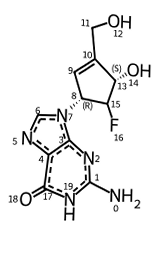 Nc1nc2c(ncn2[C@@H]2C=C(CO)[C@H](O)C2F)c(=O)[nH]1